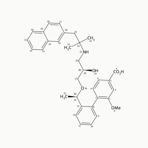 COc1cc(C(=O)O)ccc1-c1ccccc1[C@@H](C)OC[C@H](O)CNC(C)(C)Cc1ccc2ccccc2c1